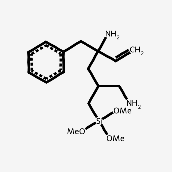 C=CC(N)(Cc1ccccc1)CC(CN)C[Si](OC)(OC)OC